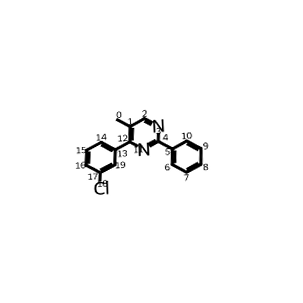 Cc1cnc(-c2ccccc2)nc1-c1cccc(Cl)c1